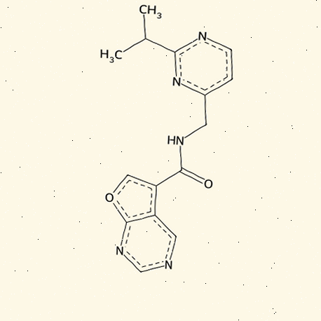 CC(C)c1nccc(CNC(=O)c2coc3ncncc23)n1